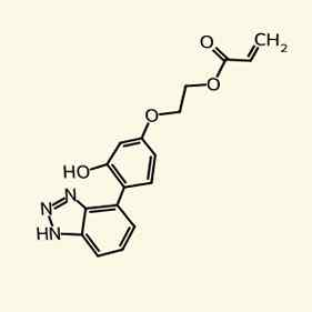 C=CC(=O)OCCOc1ccc(-c2cccc3[nH]nnc23)c(O)c1